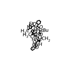 C=C[C@@H]1C[C@]1(NC(=O)[C@@H]1C[C@@]2(CN1C(=O)[C@@H](NC(=O)C(NC(=O)c1cc(C)nn1CC)C1CCCCC1)C(C)(C)C)C(C)(C)C21CCC1)C(=O)NS(=O)(=O)N1CCCC1